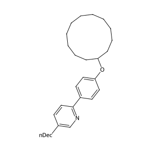 CCCCCCCCCCc1ccc(-c2ccc(OC3CCCCCCCCCCC3)cc2)nc1